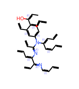 C=C\C=C/N=C(C=C)/C(=C/C=C)/N=C(\C=C)N(C(/C=C\C=C)=C/C=C)C(/C=C(C=C)\C(=C\C=C)C(\O)=C/C)=C/C=C